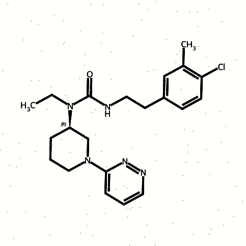 CCN(C(=O)NCCc1ccc(Cl)c(C)c1)[C@@H]1CCCN(c2cccnn2)C1